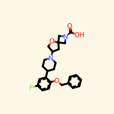 O=C(O)N1CC2(CC(N3CCC(c4cc(F)ccc4OCc4ccccc4)CC3)CO2)C1